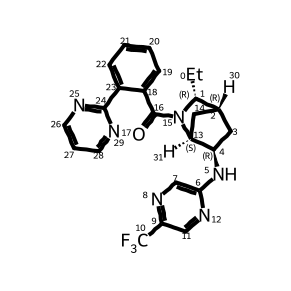 CC[C@@H]1[C@@H]2C[C@@H](Nc3cnc(C(F)(F)F)cn3)[C@H](C2)N1C(=O)c1ccccc1-c1ncccn1